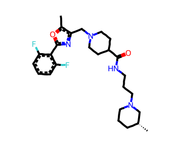 Cc1oc(-c2c(F)cccc2F)nc1CN1CCC(C(=O)NCCCN2CCC[C@@H](C)C2)CC1